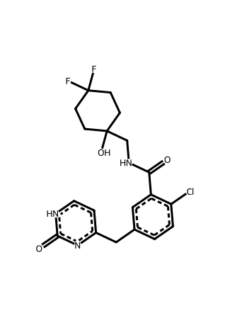 O=C(NCC1(O)CCC(F)(F)CC1)c1cc(Cc2cc[nH]c(=O)n2)ccc1Cl